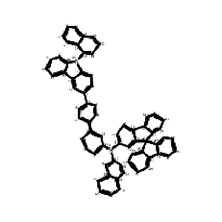 c1cc(-c2ccc(-c3ccc4c(c3)c3ccccc3n4-c3cccc4ccccc34)cc2)cc(N(c2ccc3c(c2)C2(c4ccccc4-c4ccccc42)c2ccccc2-3)c2ccc3ccccc3c2)c1